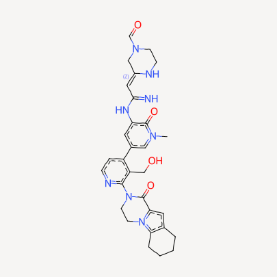 Cn1cc(-c2ccnc(N3CCn4c(cc5c4CCCC5)C3=O)c2CO)cc(NC(=N)/C=C2/CN(C=O)CCN2)c1=O